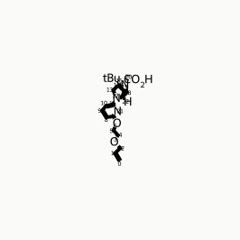 C=CCOCCOc1cccc(N2C[C@]3(C(C)(C)C)C[C@@H]2CN3C(=O)O)n1